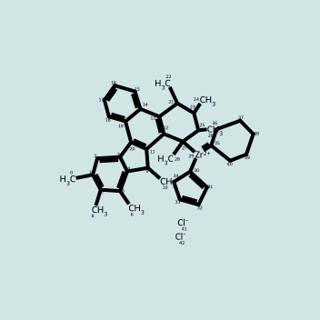 Cc1cc2c(c(C)c1C)C(C)c1c3c(c4ccccc4c1-2)C(C)C(C)C(C)[C]3(C)[Zr+2]([C]1=CC=CC1)=[C]1CCCCC1.[Cl-].[Cl-]